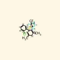 CC1=CC(SC(F)(F)C(F)(F)C(F)(F)F)(c2ccccc2Cl)C=C(C)[CH]1